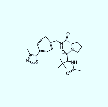 CC(=O)N[C@H](C(=O)N1CCC[C@H]1C(=O)NCC1=CC=C(c2scnc2C)C=CC1)C(C)(C)C